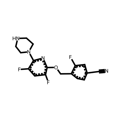 N#Cc1ccc(COc2nc(N3CCNCC3)c(F)cc2F)c(F)c1